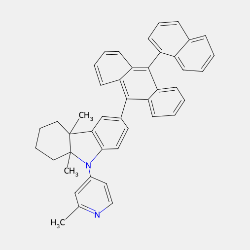 Cc1cc(N2c3ccc(-c4c5ccccc5c(-c5cccc6ccccc56)c5ccccc45)cc3C3(C)CCCCC23C)ccn1